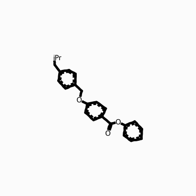 CC(C)Cc1ccc(COc2ccc(C(=O)Oc3ccccc3)cc2)cc1